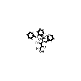 CC(C)C(C(=O)NO)N(Cc1cccnc1)S(=O)(=O)c1ccccc1Oc1ccccc1